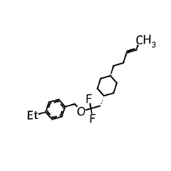 CC=CCC[C@H]1CC[C@H](CC(F)(F)OCc2ccc(CC)cc2)CC1